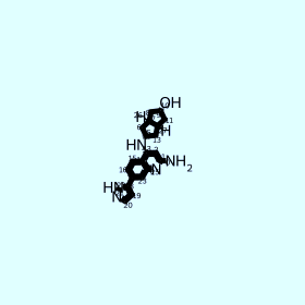 Nc1cc(N[C@@H]2C[C@H]3CC(O)C[C@H]3C2)c2ccc(-c3ccn[nH]3)cc2n1